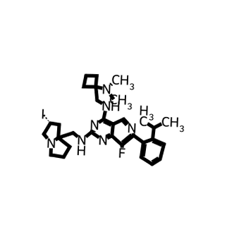 CC(C)c1ccccc1-c1ncc2c(NCC3(N(C)C)CCC3)nc(NCC34CCCN3C[C@H](I)C4)nc2c1F